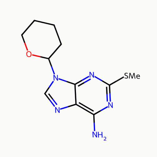 CSc1nc(N)c2ncn(C3CCCCO3)c2n1